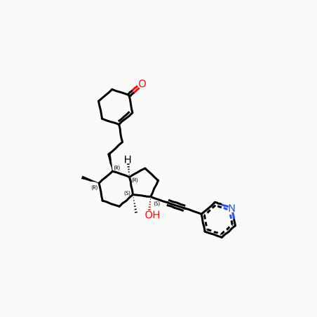 C[C@@H]1CC[C@@]2(C)[C@H](CC[C@@]2(O)C#Cc2cccnc2)[C@@H]1CCC1=CC(=O)CCC1